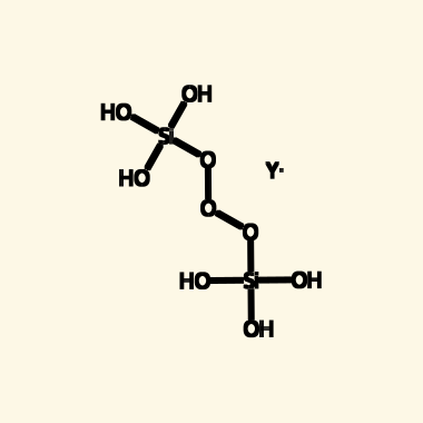 O[Si](O)(O)OOO[Si](O)(O)O.[Y]